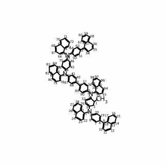 CC1CC(N(c2ccc(-c3cccc4ccccc34)cc2)c2cccc3ccccc23)=CC=C1N(c1ccc(-c2ccc(N(c3ccc(N(c4ccc(-c5cccc6ccccc56)cc4)c4cccc5ccccc45)cc3)c3cccc4ccccc34)cc2)cc1)c1cccc2ccccc12